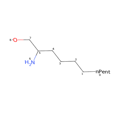 CCCCCCCCCC(N)C[O]